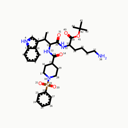 CC(c1c[nH]c2ccccc12)C(NC(=O)C1CCN(S(=O)(=O)c2ccccc2)CC1)C(=O)NC(CCCCN)C(=O)OC(C)(C)C